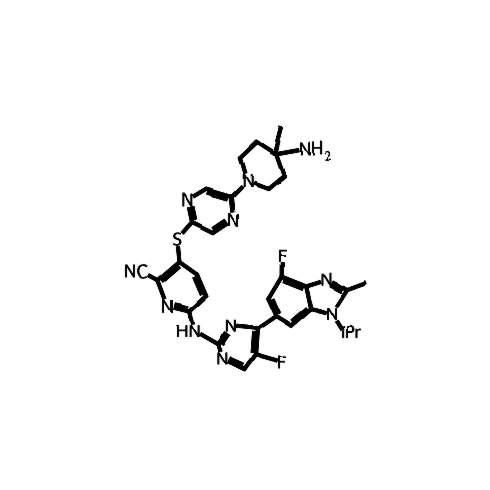 Cc1nc2c(F)cc(-c3nc(Nc4ccc(Sc5cnc(N6CCC(C)(N)CC6)cn5)c(C#N)n4)ncc3F)cc2n1C(C)C